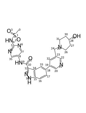 CS(=O)(=O)Nc1ncc(NC(=O)c2n[nH]c3ccc(-c4cncc(CN5CCC(O)CC5)c4)cc23)cn1